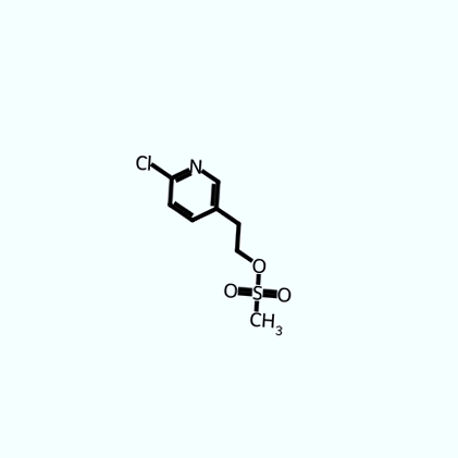 CS(=O)(=O)OCCc1ccc(Cl)nc1